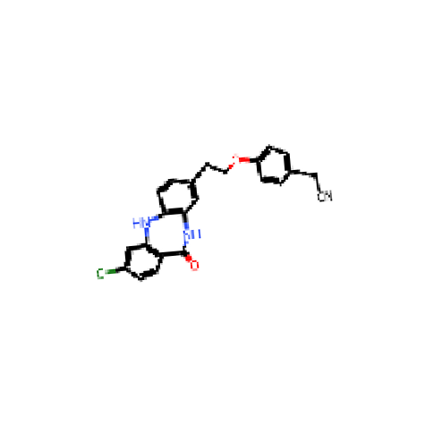 N#CCc1ccc(OCCc2ccc3c(c2)NC(=O)c2ccc(Cl)cc2N3)cc1